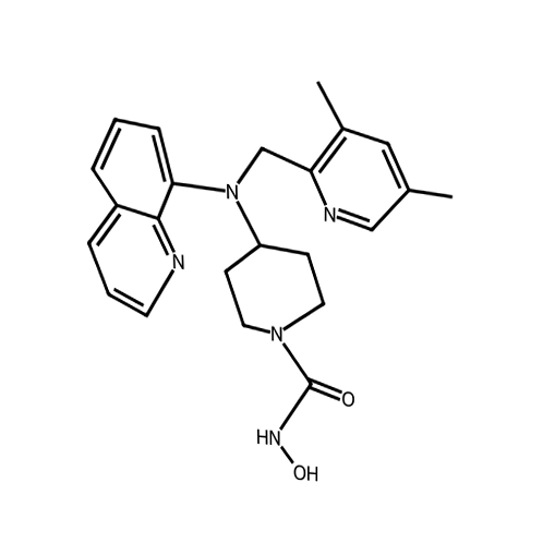 Cc1cnc(CN(c2cccc3cccnc23)C2CCN(C(=O)NO)CC2)c(C)c1